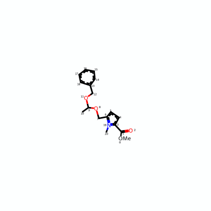 COC(=O)c1ccc(COC(C)OCc2ccccc2)n1C